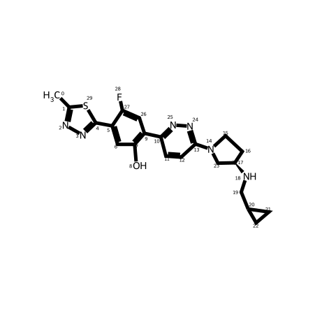 Cc1nnc(-c2cc(O)c(-c3ccc(N4CC[C@@H](NCC5CC5)C4)nn3)cc2F)s1